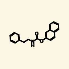 O=C(NCCc1ccccc1)Oc1ccc2ccccc2c1